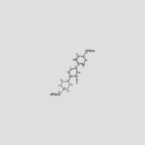 CCCCCCc1cnc(-c2ccc(C3CCC(CCCCC)CC3)c(F)c2)nc1